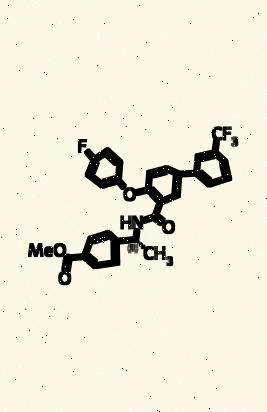 COC(=O)c1ccc([C@@H](C)NC(=O)c2cc(-c3cccc(C(F)(F)F)c3)ccc2Oc2ccc(F)cc2)cc1